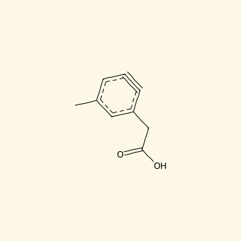 Cc1cc#cc(CC(=O)O)c1